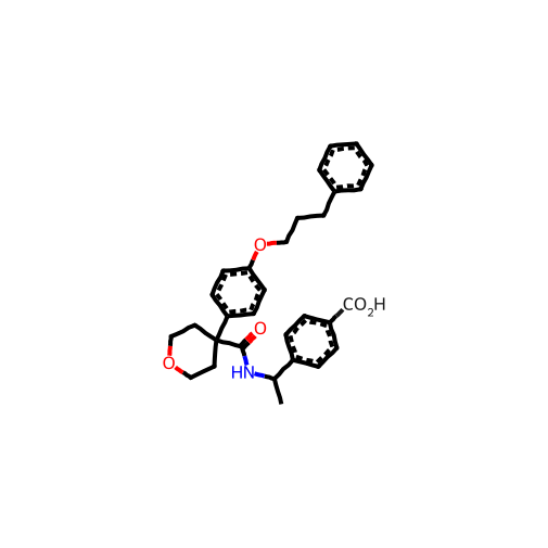 CC(NC(=O)C1(c2ccc(OCCCc3ccccc3)cc2)CCOCC1)c1ccc(C(=O)O)cc1